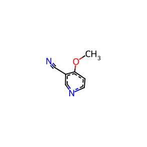 COc1ccncc1C#N